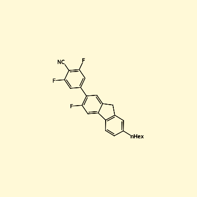 CCCCCCc1ccc2c(c1)Cc1cc(-c3cc(F)c(C#N)c(F)c3)c(F)cc1-2